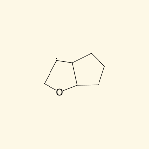 [CH]1COC2CCCC12